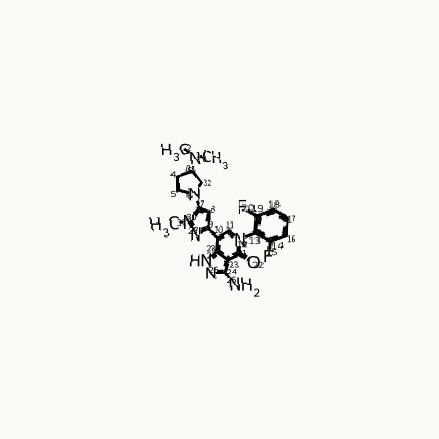 CN(C)[C@H]1CCN(c2cc(-c3cn(-c4c(F)cccc4F)c(=O)c4c(N)n[nH]c34)nn2C)C1